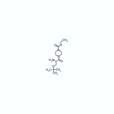 CCOC(=O)N1CCN(C(=O)C(N)COC(C)(C)C)CC1